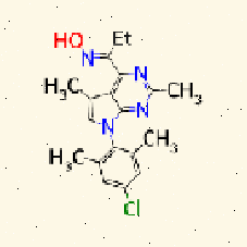 CCC(=NO)c1nc(C)nc2c1c(C)cn2-c1c(C)cc(Cl)cc1C